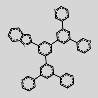 c1cncc(-c2cc(-c3cccnc3)cc(-c3cc(-c4cc(-c5cccnc5)cc(-c5cccnc5)c4)cc(-c4nc5ccccc5o4)c3)c2)c1